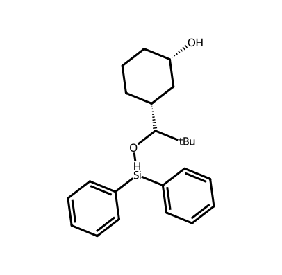 CC(C)(C)C(O[SiH](c1ccccc1)c1ccccc1)[C@@H]1CCC[C@H](O)C1